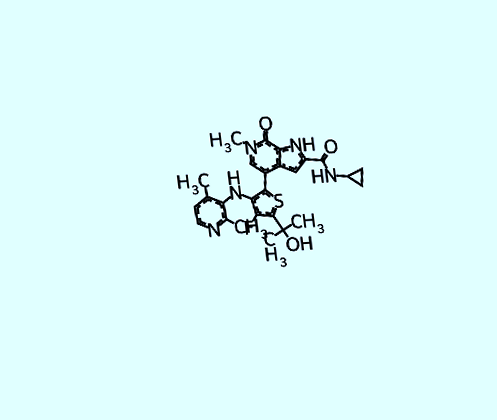 Cc1ccnc(C)c1Nc1c(-c2cn(C)c(=O)c3[nH]c(C(=O)NC4CC4)cc23)sc(C(C)(C)O)c1F